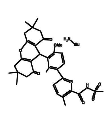 CC(C)(C)N.COc1ccc(-c2ccc(C)c(C(=O)NS(C)(=O)=O)n2)c(C)c1C1C2=C(CC(C)(C)CC2=O)OC2=C1C(=O)CC(C)(C)C2